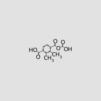 Cc1c(C(=O)O)ccc(C(=O)OC(=O)O)c1C